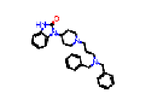 O=c1[nH]c2ccccc2n1C1CCN(CCCN(Cc2ccccc2)Cc2ccccc2)CC1